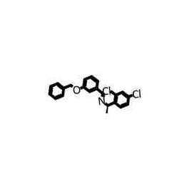 C[C@@H](N=Cc1cccc(OCc2ccccc2)c1)c1ccc(Cl)cc1Cl